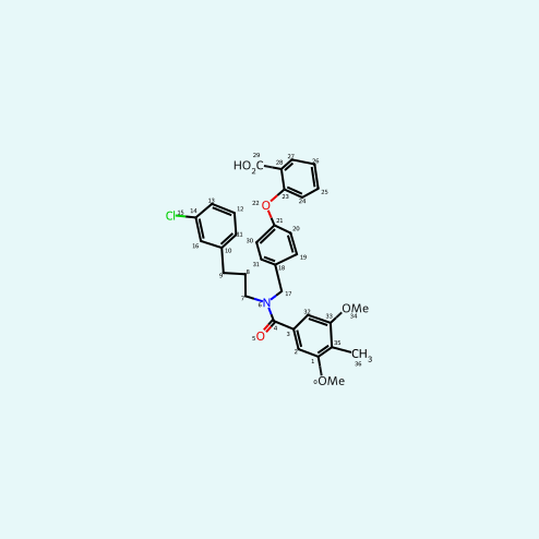 COc1cc(C(=O)N(CCCc2cccc(Cl)c2)Cc2ccc(Oc3ccccc3C(=O)O)cc2)cc(OC)c1C